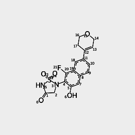 O=C1CN(c2c(O)cc3ccc(C4=CCOCC4)cc3c2F)S(=O)(=O)N1